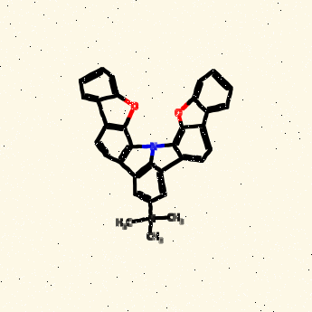 C[Si](C)(C)c1cc2c3ccc4c5ccccc5oc4c3n3c2c(c1)c1ccc2c4ccccc4oc2c13